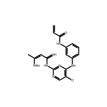 C=CC(=O)Nc1cccc(Nc2nc(NC(=N)/C=C(/C)NC)ncc2Cl)c1